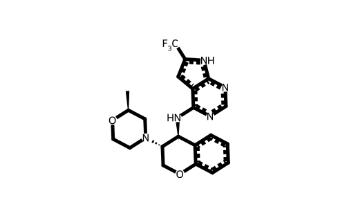 C[C@H]1CN([C@H]2COc3ccccc3[C@@H]2Nc2ncnc3[nH]c(C(F)(F)F)cc23)CCO1